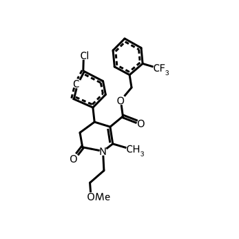 COCCN1C(=O)CC(c2ccc(Cl)cc2)C(C(=O)OCc2ccccc2C(F)(F)F)=C1C